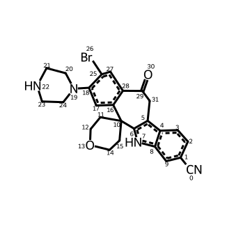 N#Cc1ccc2c3c([nH]c2c1)C1(CCOCC1)c1cc(N2CCNCC2)c(Br)cc1C(=O)C3